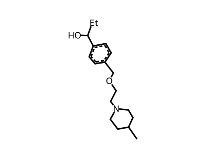 CCC(O)c1ccc(COCCN2CCC(C)CC2)cc1